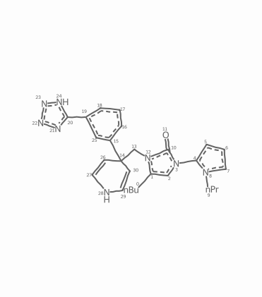 CCCCc1cn(-c2cccn2CCC)c(=O)n1CC1(c2cccc(-c3nnn[nH]3)c2)C=CNC=C1